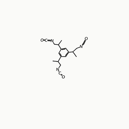 CC(CN=C=O)c1cc(C(C)CN=C=O)cc(C(C)CN=C=O)c1